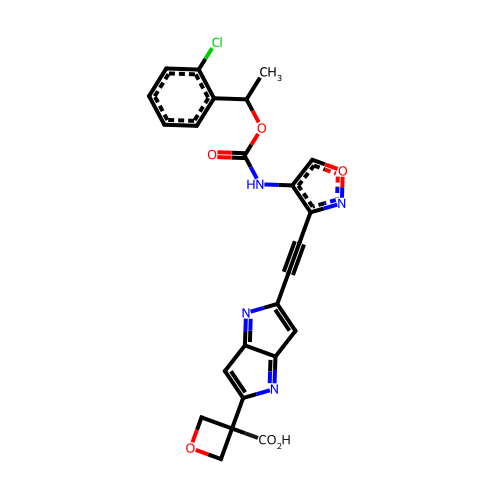 CC(OC(=O)Nc1conc1C#CC1=CC2=NC(C3(C(=O)O)COC3)=CC2=N1)c1ccccc1Cl